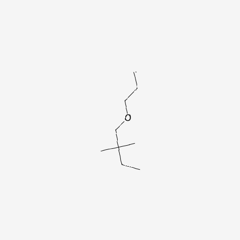 [CH2]CCOCC(C)(C)CC